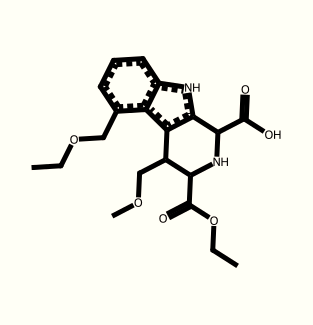 CCOCc1cccc2[nH]c3c(c12)C(COC)C(C(=O)OCC)NC3C(=O)O